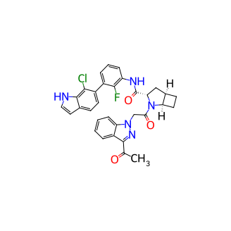 CC(=O)c1nn(CC(=O)N2[C@@H]3CC[C@@H]3C[C@H]2C(=O)Nc2cccc(-c3ccc4cc[nH]c4c3Cl)c2F)c2ccccc12